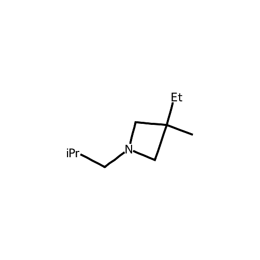 CCC1(C)CN(CC(C)C)C1